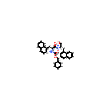 O=[C][C@H](Cc1cccc2ccccc12)NC(=O)[C@H](Cc1cccc2ccccc12)NC(=O)OCc1ccccc1